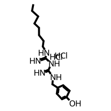 CCCCCCCCNC(=N)NC(=N)NCc1ccc(O)cc1.Cl.Cl